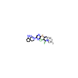 C=N/C(F)=C(Cl)\C(=C/C)Sc1cnc(N2CCC3(CCC[C@H]3N)CC2)cn1